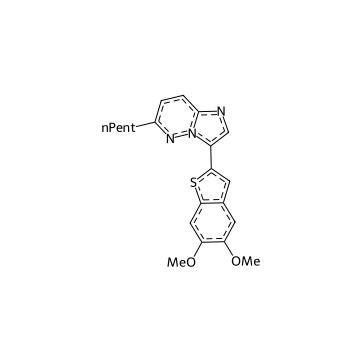 CCCCCc1ccc2ncc(-c3cc4cc(OC)c(OC)cc4s3)n2n1